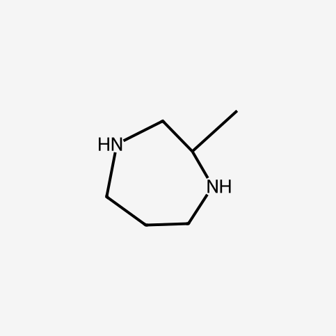 CC1CNCCCN1